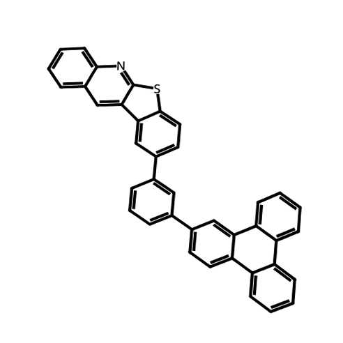 c1cc(-c2ccc3sc4nc5ccccc5cc4c3c2)cc(-c2ccc3c4ccccc4c4ccccc4c3c2)c1